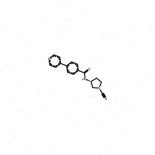 N#CN1CC[C@H](NC(=O)c2ccc(-c3ccncc3)cc2)C1